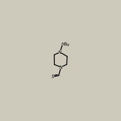 CCCCN1CCN([C]=S)CC1